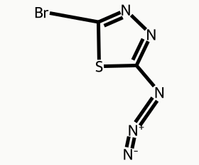 [N-]=[N+]=Nc1nnc(Br)s1